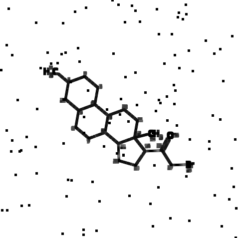 CC1CCC2C(CCC3C2CCC2(C)C(C(=O)CBr)CCC32)C1